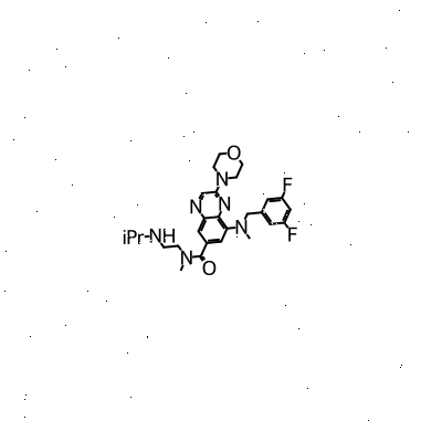 CC(C)NCCN(C)C(=O)c1cc(N(C)Cc2cc(F)cc(F)c2)c2nc(N3CCOCC3)cnc2c1